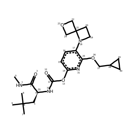 CNC(=O)[C@H](CC(C)(C)C)NC(=O)Oc1ccc(N2CCC23COC3)c(OCC2CC2)n1